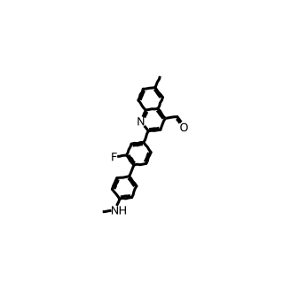 CNc1ccc(-c2ccc(-c3cc(C=O)c4cc(C)ccc4n3)cc2F)cc1